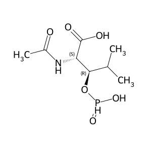 CC(=O)N[C@H](C(=O)O)[C@H](O[PH](=O)O)C(C)C